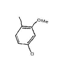 COc1cc(Cl)ccc1C